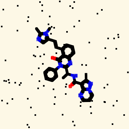 Cc1nn2cccnc2c1C(=O)NC(C)c1nc2cccc(/C=C/c3cnc(C)n3C)c2c(=O)n1-c1ccccc1